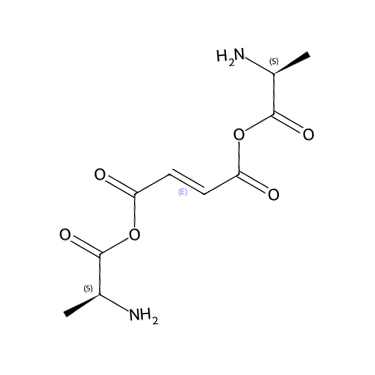 C[C@H](N)C(=O)OC(=O)/C=C/C(=O)OC(=O)[C@H](C)N